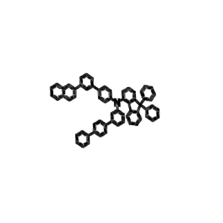 c1ccc(-c2ccc(-c3cccc(N(c4ccc(-c5cccc(-c6ccc7ccccc7c6)c5)cc4)c4cccc5c4-c4ccccc4C5(c4ccccc4)c4ccccc4)c3)cc2)cc1